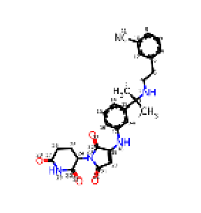 CC(C)(NCCc1cccc(C#N)c1)c1cccc(NC2=CC(=O)N(C3CCC(=O)NC3=O)C2=O)c1